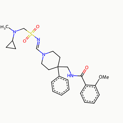 COc1ccccc1C(=O)NCC1(c2ccccc2)CCN(/C=N/S(=O)(=O)CN(C)C2CC2)CC1